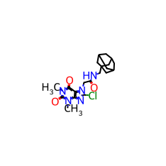 Cn1c(=O)c2c(nc(Cl)n2CC(=O)NCC23CC4CC(CC(C4)C2)C3)n(C)c1=O